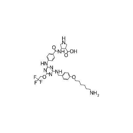 NCCCCCCOc1ccc(CNc2nc(Nc3ccc(C(=O)NC4CNCC4C(=O)O)cc3)nc(OCC(F)(F)F)n2)cc1